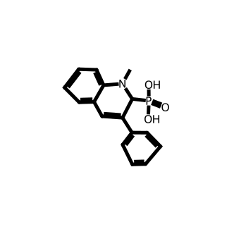 CN1c2ccccc2C=C(c2ccccc2)C1P(=O)(O)O